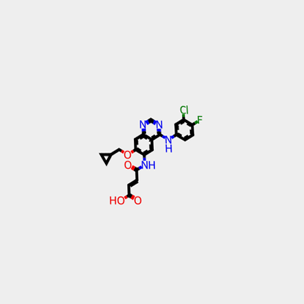 O=C(O)C=CC(=O)Nc1cc2c(Nc3ccc(F)c(Cl)c3)ncnc2cc1OCC1CC1